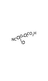 Cc1cc(COc2ccc(C#N)cc2CCc2ccccc2)ccc1C(=O)O